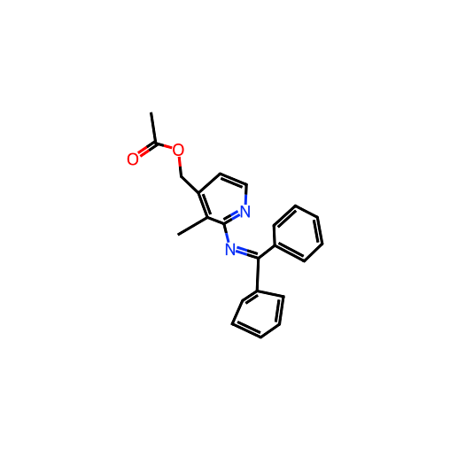 CC(=O)OCc1ccnc(N=C(c2ccccc2)c2ccccc2)c1C